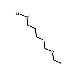 CCOCOCCCNN